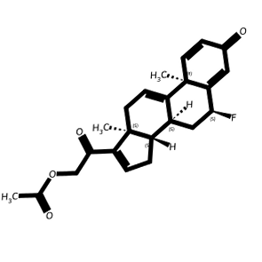 CC(=O)OCC(=O)C1=CC[C@H]2[C@@H]3C[C@H](F)C4=CC(=O)C=C[C@]4(C)C3=CC[C@]12C